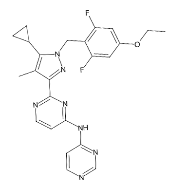 CCOc1cc(F)c(Cn2nc(-c3nccc(Nc4ccncn4)n3)c(C)c2C2CC2)c(F)c1